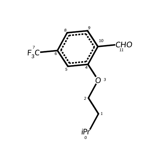 CC(C)CCOc1cc(C(F)(F)F)ccc1C=O